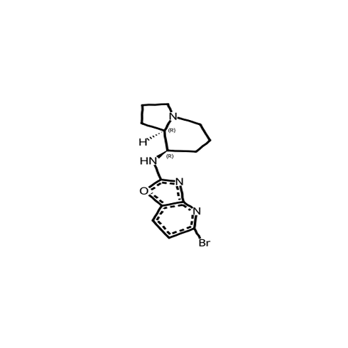 Brc1ccc2oc(N[C@@H]3CCCN4CCC[C@H]34)nc2n1